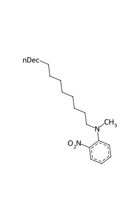 CCCCCCCCCCCCCCCCCCN(C)c1ccccc1[N+](=O)[O-]